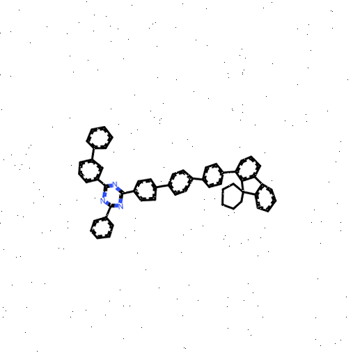 c1ccc(-c2cccc(-c3nc(-c4ccccc4)nc(-c4ccc(-c5ccc(-c6ccc(-c7cccc8c7C7(CCCCC7)c7ccccc7-8)cc6)cc5)cc4)n3)c2)cc1